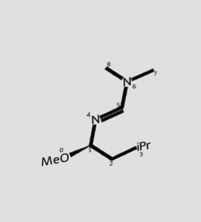 CO[C@H](CC(C)C)N=CN(C)C